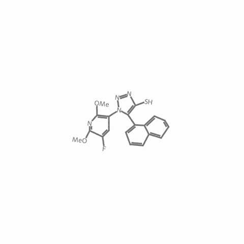 COc1nc(OC)c(-n2nnc(S)c2-c2cccc3ccccc23)cc1F